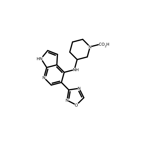 O=C(O)N1CCCC(Nc2c(-c3ncon3)cnc3[nH]ccc23)C1